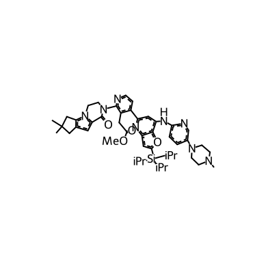 COC(=O)Cc1c(-c2cc(Nc3ccc(N4CCN(C)CC4)cn3)c3oc([Si](C(C)C)(C(C)C)C(C)C)cc3n2)ccnc1N1CCn2c(cc3c2CC(C)(C)C3)C1=O